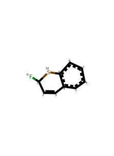 FC1C=Cc2ccccc2S1